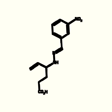 C=CC(CCC(=O)O)N/N=C/c1cccc([N+](=O)[O-])c1